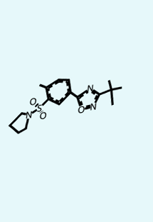 Cc1ccc(-c2nc(C(C)(C)C)no2)cc1S(=O)(=O)N1CCCC1